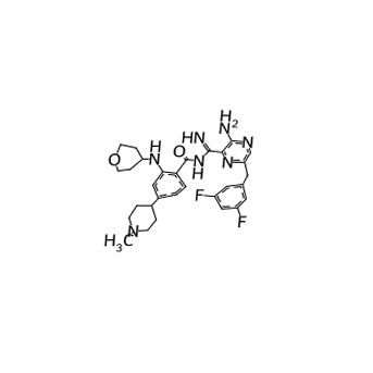 CN1CCC(c2ccc(C(=O)NC(=N)c3nc(Cc4cc(F)cc(F)c4)cnc3N)c(NC3CCOCC3)c2)CC1